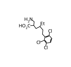 CCC(CCc1c(Cl)ccc(Cl)c1Cl)CC(CN)C(=O)O